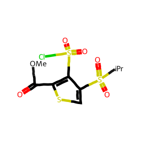 COC(=O)c1scc(S(=O)(=O)C(C)C)c1S(=O)(=O)Cl